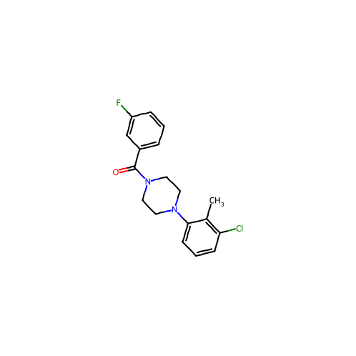 Cc1c(Cl)cccc1N1CCN(C(=O)c2cccc(F)c2)CC1